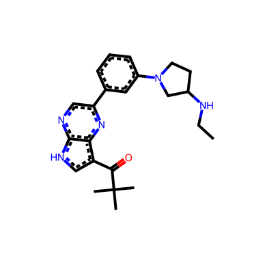 CCNC1CCN(c2cccc(-c3cnc4[nH]cc(C(=O)C(C)(C)C)c4n3)c2)C1